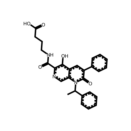 CC(c1ccccc1)n1c(=O)c(-c2ccccc2)cc2c(O)c(C(=O)NCCCC(=O)O)ncc21